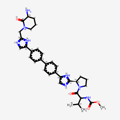 COC(=O)NC(C(=O)N1CCC[C@@H]1c1ncc(-c2ccc(-c3ccc(-c4cnc(CN5CCCC(N)C5=O)[nH]4)cc3)cc2)[nH]1)C(C)C